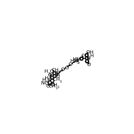 CC1(C)CC[C@]2(C(=O)NCCCOCCOCCOCCCNC(=S)Nc3ccc(-c4c5ccc(=O)cc-5oc5cc(O)ccc45)c(C(=O)O)c3)CC[C@]3(C)[C@H](C(=O)C=C4[C@@]5(C)C=C(C#N)C(=O)C(C)(C)[C@@H]5CC[C@]43C)[C@@H]2C1